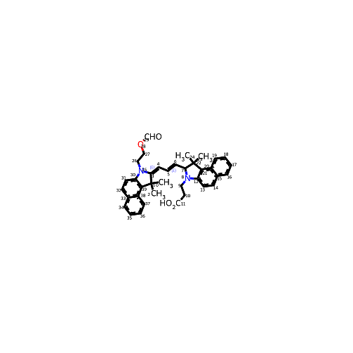 CC1(C)/C(=C\C=C\C2N(CCC(=O)O)c3ccc4ccccc4c3C2(C)C)N(CCOC=O)c2ccc3ccccc3c21